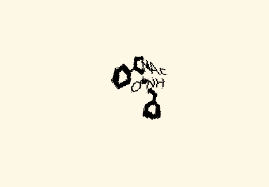 CC(=O)N1CC[C@H](c2ccccc2)[C@H]1C(=O)NCCc1ccccc1